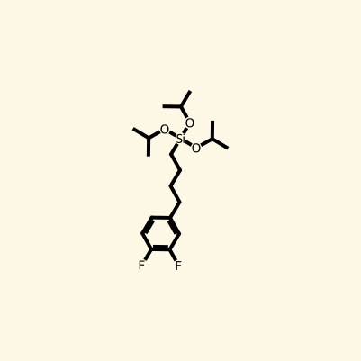 CC(C)O[Si](CCCCc1ccc(F)c(F)c1)(OC(C)C)OC(C)C